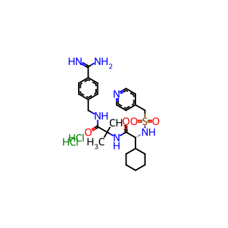 CC(C)(NC(=O)[C@H](NS(=O)(=O)Cc1ccncc1)C1CCCCC1)C(=O)NCc1ccc(C(=N)N)cc1.Cl.Cl